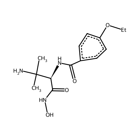 CCOc1ccc(C(=O)N[C@@H](C(=O)NO)C(C)(C)N)cc1